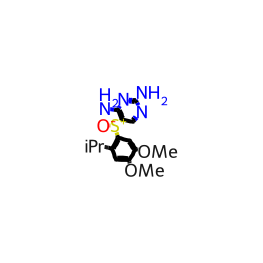 COc1cc(C(C)C)c([S+]([O-])c2cnc(N)nc2N)cc1OC